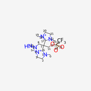 CN1CC[N+](C)=C1C(CN=N)(COS(=O)(=O)C(F)(F)F)C1=[N+](C)CCN1C